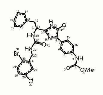 COC(=O)Nc1ccc(-c2nc([C@H](Cc3ccccc3)NC(=O)NCc3cc(Cl)ccc3Br)[nH]c2Cl)cc1